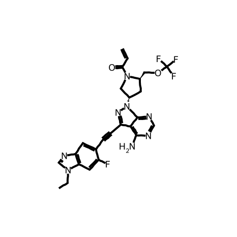 C=CC(=O)N1C[C@@H](n2nc(C#Cc3cc4ncn(CC)c4cc3F)c3c(N)ncnc32)C[C@@H]1COC(F)(F)F